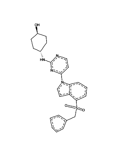 O=S(=O)(Cc1ccccc1)c1cccc2c1ccn2-c1ccnc(N[C@H]2CC[C@H](O)CC2)n1